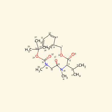 CC(C)C(C(=O)OCc1ccccc1)N(C)C(=O)CN(C)C(=O)OC(C)(C)C